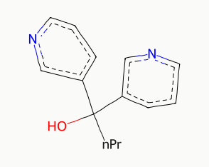 CCCC(O)(c1cccnc1)c1cccnc1